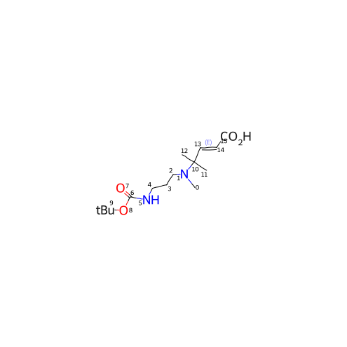 CN(CCCNC(=O)OC(C)(C)C)C(C)(C)/C=C/C(=O)O